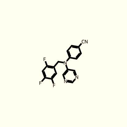 N#Cc1ccc(N(Cc2cc(F)c(F)cc2F)c2cncnc2)cc1